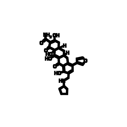 NC(=O)C1=C(O)C[C@@H]2C[C@@H]3Cc4c(-c5ccoc5)cc(CNC5CCCC5)c(O)c4C(=O)C3=C(O)[C@]2(O)C1=O